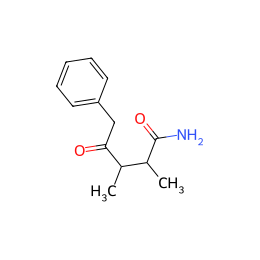 CC(C(N)=O)C(C)C(=O)Cc1ccccc1